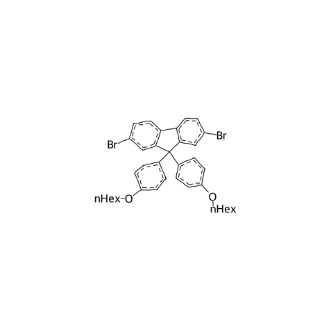 CCCCCCOc1ccc(C2(c3ccc(OCCCCCC)cc3)c3cc(Br)ccc3-c3ccc(Br)cc32)cc1